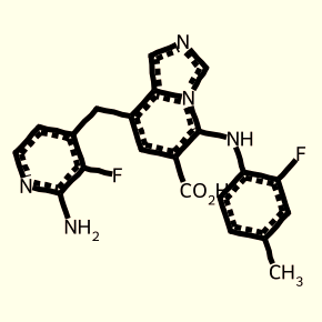 Cc1ccc(Nc2c(C(=O)O)cc(Cc3ccnc(N)c3F)c3cncn23)c(F)c1